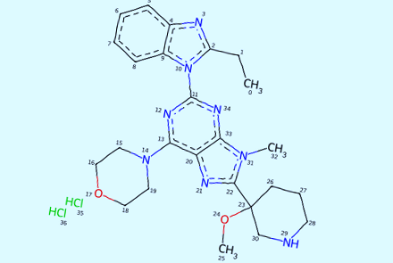 CCc1nc2ccccc2n1-c1nc(N2CCOCC2)c2nc(C3(OC)CCCNC3)n(C)c2n1.Cl.Cl